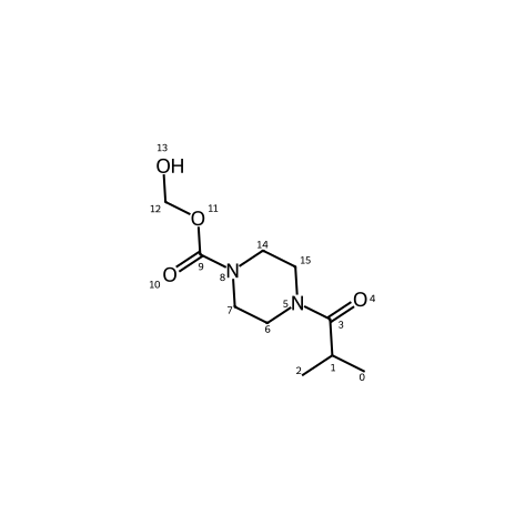 CC(C)C(=O)N1CCN(C(=O)OCO)CC1